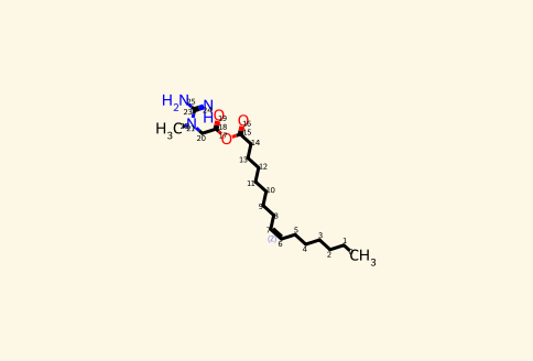 CCCCCC/C=C\CCCCCCCC(=O)OC(=O)CN(C)C(=N)N